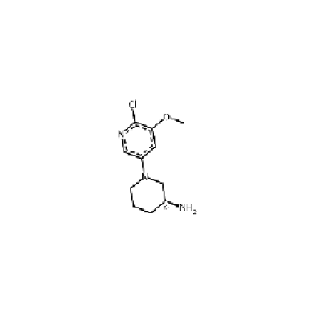 COc1cc(N2CCC[C@H](N)C2)cnc1Cl